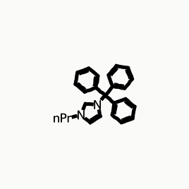 CCCN1C=CN(C(c2ccccc2)(c2ccccc2)c2ccccc2)C1